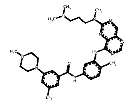 Cc1ccc(NC(=O)c2cc(N3CCN(C)CC3)cc(C(F)(F)F)c2)cc1Nc1ncnc2cnc(N(C)CCCN(C)C)nc12